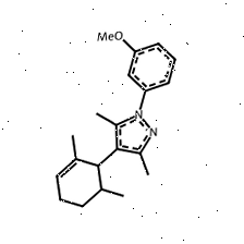 COc1cccc(-n2nc(C)c(C3C(C)=CCCC3C)c2C)c1